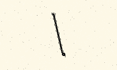 [N-]=[N+]=NCCOCCOCCOCCOCCOCCOCCOCCOCCOCCOCCOCCOCc1ccc(I)cc1